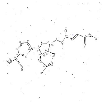 COC(=O)/C=C/C(=O)OC[C@H]1O[C@@H]([n+]2cccc(C(N)=O)c2)[C@H](OC(C)=O)[C@@H]1C